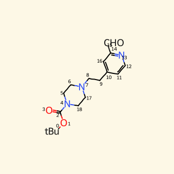 CC(C)(C)OC(=O)N1CCN(CCc2ccnc(C=O)c2)CC1